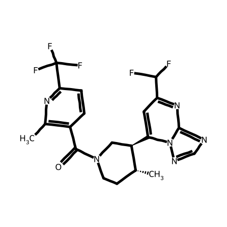 Cc1nc(C(F)(F)F)ccc1C(=O)N1CC[C@@H](C)[C@H](c2cc(C(F)F)nc3ncnn23)C1